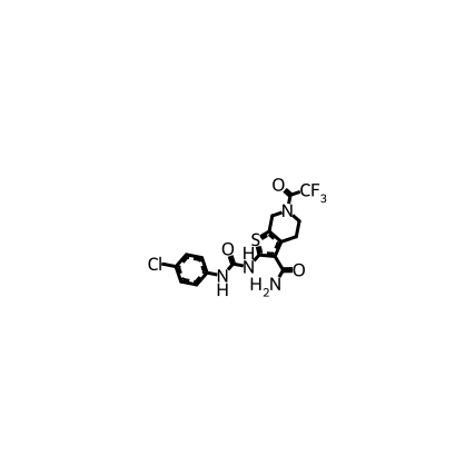 NC(=O)c1c(NC(=O)Nc2ccc(Cl)cc2)sc2c1CCN(C(=O)C(F)(F)F)C2